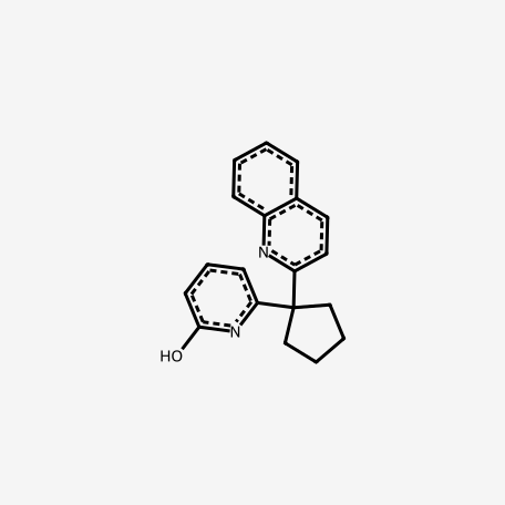 Oc1cccc(C2(c3ccc4ccccc4n3)CCCC2)n1